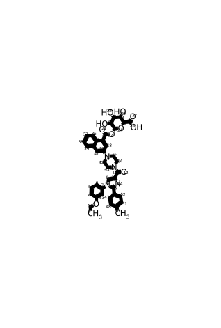 CCOc1cccc(-n2cc(C(=O)N3CCN(c4cc(C(=O)OC5OC(C(=O)O)C(O)C(O)C5O)c5ccccc5c4)CC3)nc2-c2ccc(C)cc2)c1